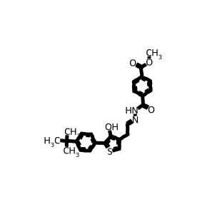 COC(=O)c1ccc(C(=O)NN=CCc2csc(-c3ccc(C(C)(C)C)cc3)c2O)cc1